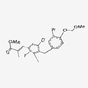 COCOc1ccc(Cc2c(Cl)cc(/C=C(\C)C(=O)OC)c(F)c2C)cc1C(C)C